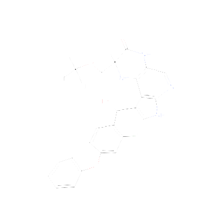 [2H]C([2H])([2H])OCC1(C)Nc2c(cnc3[nH]cc(C(O)c4ccc(Oc5ccccc5)cc4Cl)c23)NC1=O